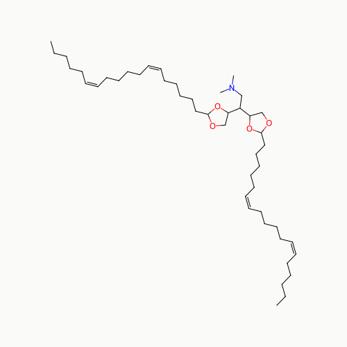 CCCCC/C=C\CCCC/C=C\CCCCCC1OCC(C(CN(C)C)C2COC(CCCCC/C=C\CCCC/C=C\CCCCC)O2)O1